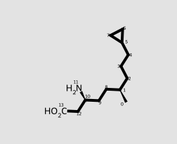 C[C@H](CCCC1CC1)CC[C@H](N)CC(=O)O